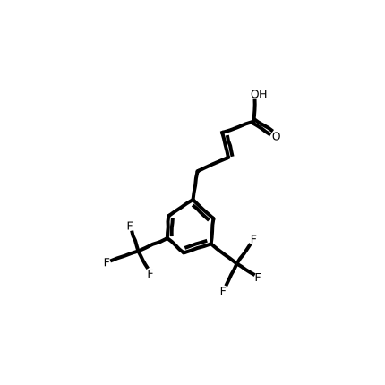 O=C(O)C=CCc1cc(C(F)(F)F)cc(C(F)(F)F)c1